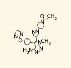 C=CC(=O)N1CCC(n2cc(-c3c(-c4ccc(Oc5ncccn5)cc4)c4c(N)ncnc4n3C)cn2)CC1